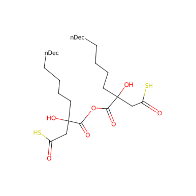 CCCCCCCCCCCCCCC(O)(CC(=O)S)C(=O)OC(=O)C(O)(CCCCCCCCCCCCCC)CC(=O)S